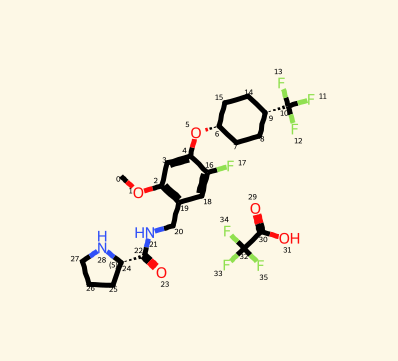 COc1cc(O[C@H]2CC[C@@H](C(F)(F)F)CC2)c(F)cc1CNC(=O)[C@@H]1CCCN1.O=C(O)C(F)(F)F